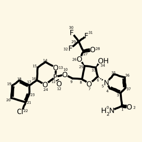 NC(=O)C1=CN([C@@H]2OC(COP3(=O)OCCC(c4cccc(Cl)c4)O3)[C@@H](OC(=O)C(F)(F)F)[C@H]2O)CC=C1